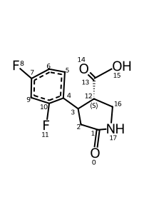 O=C1CC(c2ccc(F)cc2F)[C@H](C(=O)O)CN1